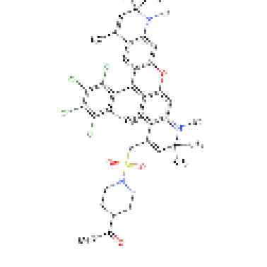 CCOC(=O)c1c(Cl)c(Cl)c(Cl)c(Cl)c1C1=c2cc3c(cc2Oc2cc4c(cc21)C(C)=CC(C)(C)N4CC)=[N+](CC)C(C)(C)C=C3CS(=O)(=O)N1CCC(C(=O)OC)CC1